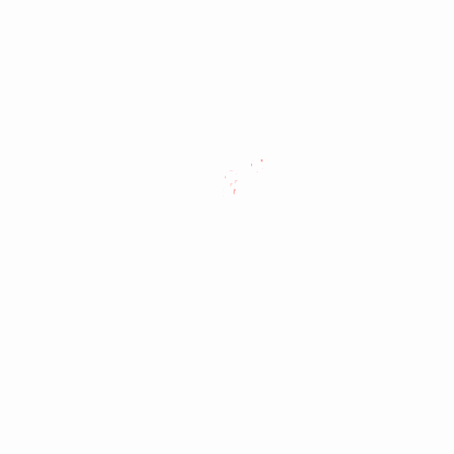 [CH2]CCCCOCC1COC(COCCCCCCCCCCCCCCCCCC)C1